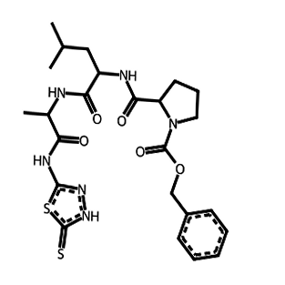 CC(C)CC(NC(=O)C1CCCN1C(=O)OCc1ccccc1)C(=O)NC(C)C(=O)Nc1n[nH]c(=S)s1